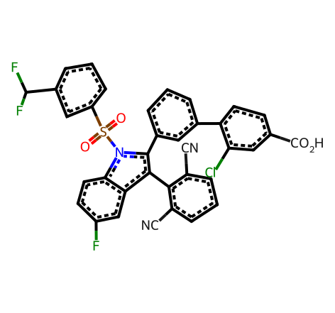 N#Cc1cccc(C#N)c1-c1c(-c2cccc(-c3ccc(C(=O)O)cc3Cl)c2)n(S(=O)(=O)c2cccc(C(F)F)c2)c2ccc(F)cc12